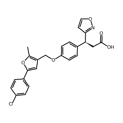 Cc1oc(-c2ccc(Cl)cc2)cc1COc1ccc([C@H](CC(=O)O)c2ccon2)cc1